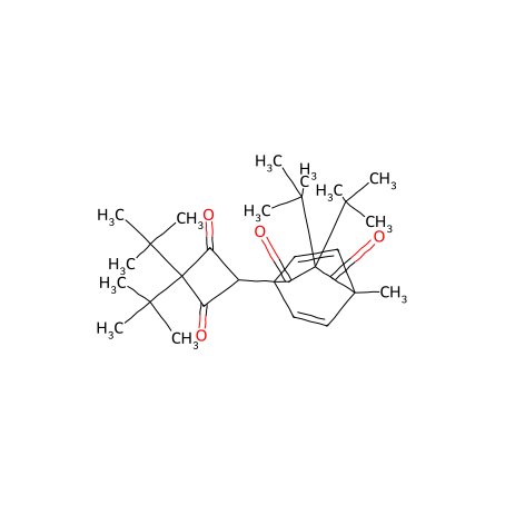 CC12C=CC(C3C(=O)C(C(C)(C)C)(C(C)(C)C)C3=O)(C=C1)C(=O)C(C(C)(C)C)(C(C)(C)C)C2=O